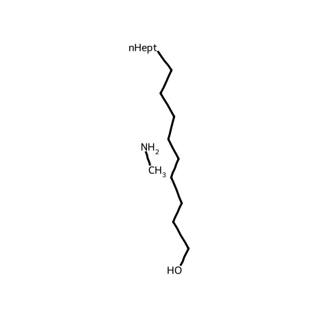 CCCCCCCCCCCCCCCCO.CN